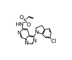 C=CS(=O)(=O)Nc1cc2c(N3CCc4ccc(Cl)cc43)ncnc2cn1